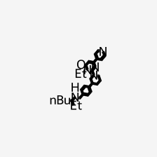 CCCCC(CC)NCc1ccc(C2CCCN(c3nc(-c4ccncc4)cc(=O)n3CC)C2)cc1